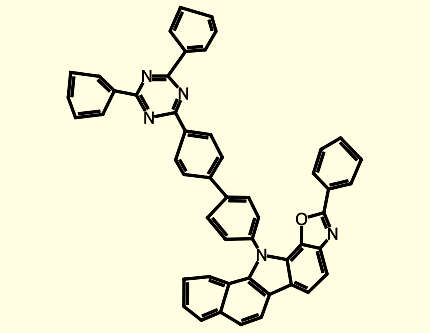 c1ccc(-c2nc(-c3ccccc3)nc(-c3ccc(-c4ccc(-n5c6c7ccccc7ccc6c6ccc7nc(-c8ccccc8)oc7c65)cc4)cc3)n2)cc1